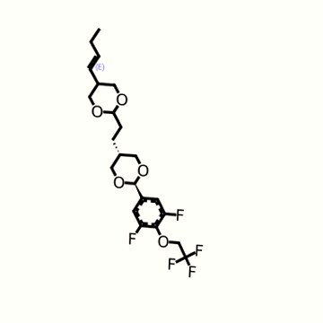 CC/C=C/C1COC(CC[C@H]2CO[C@H](c3cc(F)c(OCC(F)(F)F)c(F)c3)OC2)OC1